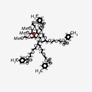 COCCOCC(CN(CC(COCCOC)OCCOC)CN(CC(COCCOCCOS(=O)(=O)c1ccc(C)cc1)OCCOCCOS(=O)(=O)c1ccc(C)cc1)CC(COCCOCCOS(=O)(=O)c1ccc(C)cc1)OCCOCCOS(=O)(=O)c1ccc(C)cc1)OCCOC